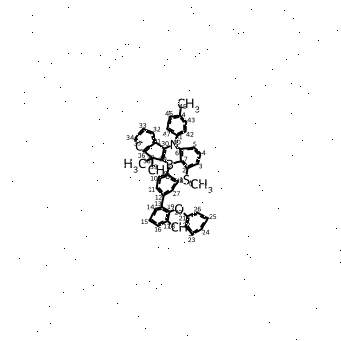 CSc1cccc2c1B(c1ccc(-c3cccc(C)c3Oc3ccccc3)cc1)C1=C(c3ccccc3C1(C)C)N2c1ccc(C)cc1